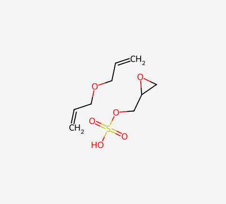 C=CCOCC=C.O=S(=O)(O)OCC1CO1